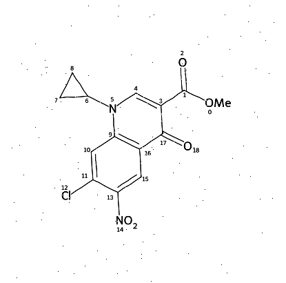 COC(=O)c1cn(C2CC2)c2cc(Cl)c([N+](=O)[O-])cc2c1=O